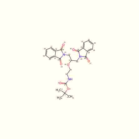 CC(C)(C)OC(=O)NCCOC(CN1C(=O)c2ccccc2C1=O)CN1C(=O)c2ccccc2C1=O